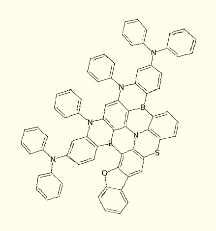 c1ccc(N(c2ccccc2)c2ccc3c(c2)N(c2ccccc2)c2cc4c5c6c2B3c2cccc3c2N6c2c(cc6c(oc7ccccc76)c2B5c2ccc(N(c5ccccc5)c5ccccc5)cc2N4c2ccccc2)S3)cc1